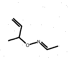 [CH2]C=NOC(C)C=C